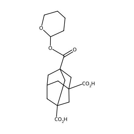 O=C(O)C12CC3CC(C(=O)O)(C1)CC(C(=O)OC1CCCCO1)(C3)C2